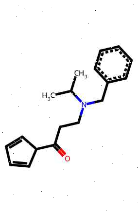 CC(C)N(CCC(=O)C1C=CC=C1)Cc1ccccc1